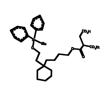 CCOC(=O)C(CC(=O)O)C(=O)OCCCCC1(CCO[Si](c2ccccc2)(c2ccccc2)C(C)(C)C)CCCCC1